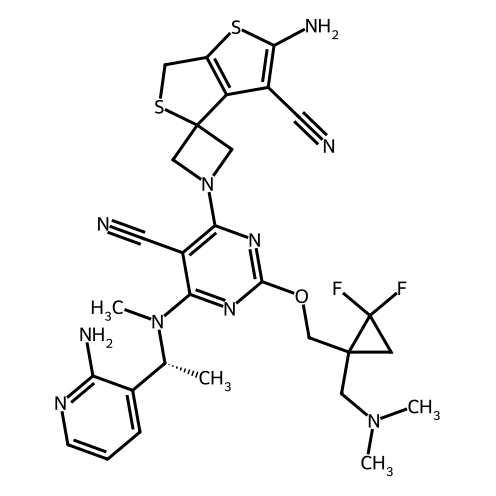 C[C@H](c1cccnc1N)N(C)c1nc(OCC2(CN(C)C)CC2(F)F)nc(N2CC3(C2)SCc2sc(N)c(C#N)c23)c1C#N